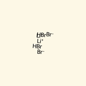 Br.Br.[Br-].[Br-].[Li+].[Li+]